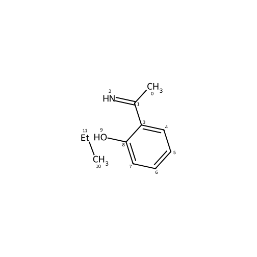 CC(=N)c1ccccc1O.CCC